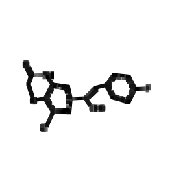 O=CC(=Cc1ccc(F)cc1)c1cc(Cl)c2c(c1)NC(=O)CO2